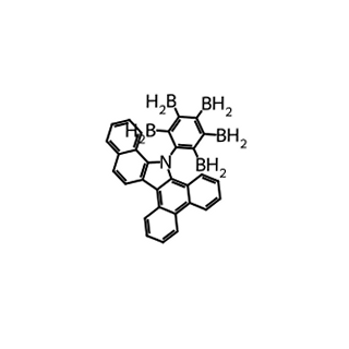 Bc1c(B)c(B)c(-n2c3c4ccccc4ccc3c3c4ccccc4c4ccccc4c32)c(B)c1B